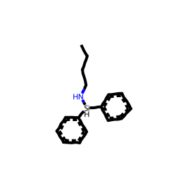 CCCCN[SiH](c1ccccc1)c1ccccc1